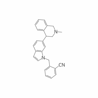 CN1Cc2ccccc2C(c2ccc3ccn(Cc4ccccc4C#N)c3c2)C1